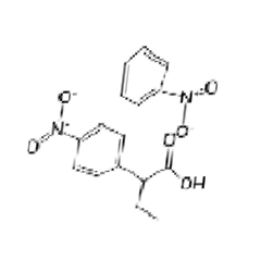 CCC(C(=O)O)c1ccc([N+](=O)[O-])cc1.O=[N+]([O-])c1ccccc1